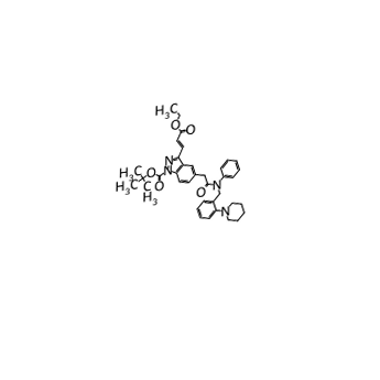 CCOC(=O)C=Cc1nn(C(=O)OC(C)(C)C)c2ccc(CC(=O)N(Cc3ccccc3N3CCCCC3)c3ccccc3)cc12